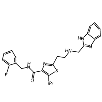 CC(C)c1sc(CCNCc2nc3ccccc3[nH]2)nc1C(=O)NCc1ccccc1F